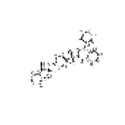 CC1(Cc2ccc(S(=O)(=O)N(CCc3ccccc3)Cc3ccccc3)cc2)Nc2ccccc2N1